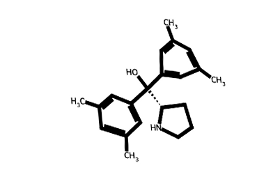 Cc1cc(C)cc(C(O)(c2cc(C)cc(C)c2)[C@@H]2CCCN2)c1